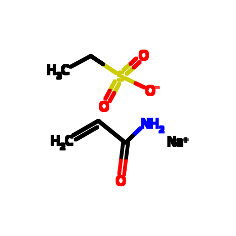 C=CC(N)=O.CCS(=O)(=O)[O-].[Na+]